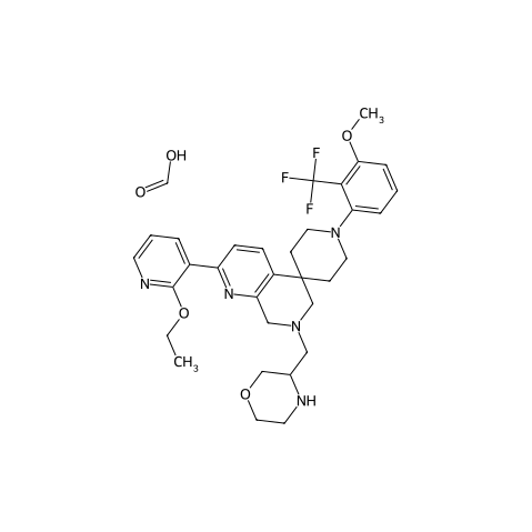 CCOc1ncccc1-c1ccc2c(n1)CN(CC1COCCN1)CC21CCN(c2cccc(OC)c2C(F)(F)F)CC1.O=CO